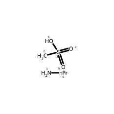 CCCN.CS(=O)(=O)O